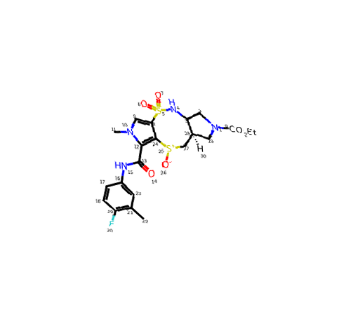 CCOC(=O)N1CC2NS(=O)(=O)c3cn(C)c(C(=O)Nc4ccc(F)c(C)c4)c3[S+]([O-])C[C@@H]2C1